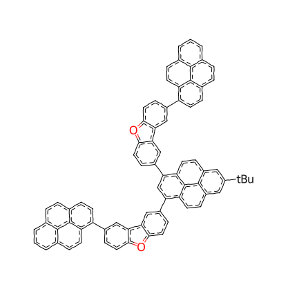 CC(C)(C)c1cc2ccc3c(-c4ccc5oc6ccc(-c7ccc8ccc9cccc%10ccc7c8c9%10)cc6c5c4)cc(-c4ccc5oc6ccc(-c7ccc8ccc9cccc%10ccc7c8c9%10)cc6c5c4)c4ccc(c1)c2c34